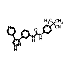 CC(C)(C#N)c1ccc(NC(=O)Nc2cccc(-c3n[nH]cc3-c3ccncc3)c2)cc1